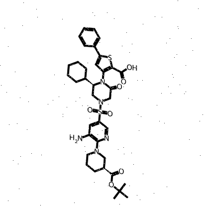 CC(C)(C)OC(=O)[C@H]1CCCN(c2ncc(S(=O)(=O)N3CC(=O)N(c4cc(-c5ccccc5)sc4C(=O)O)[C@H](C4CCCCC4)C3)cc2N)C1